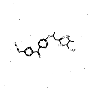 CC(CC(=O)NC(C(=O)O)C(C)O)Oc1ccc(C(=O)c2ccc(N=C=O)cc2)cc1